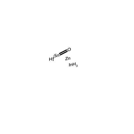 [Hf].[InH3].[O]=[Sn].[Zn]